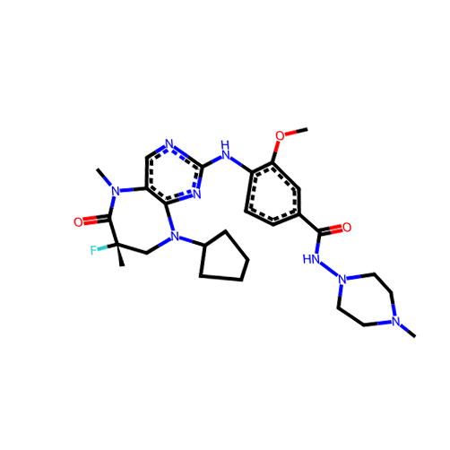 COc1cc(C(=O)NN2CCN(C)CC2)ccc1Nc1ncc2c(n1)N(C1CCCC1)C[C@](C)(F)C(=O)N2C